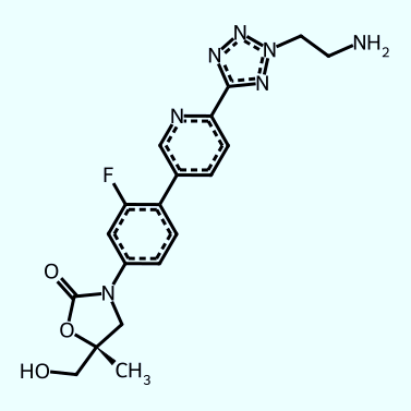 C[C@]1(CO)CN(c2ccc(-c3ccc(-c4nnn(CCN)n4)nc3)c(F)c2)C(=O)O1